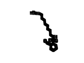 CCCCCCCCCCCCCCCCCCNS(=O)(=O)C1C=CC=CC1=C=O